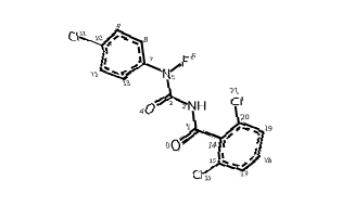 O=C(NC(=O)N(F)c1ccc(Cl)cc1)c1c(Cl)cccc1Cl